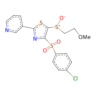 COCC[S+]([O-])c1sc(-c2cccnc2)nc1S(=O)(=O)c1ccc(Cl)cc1